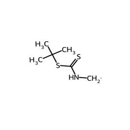 [CH2]NC(=S)SC(C)(C)C